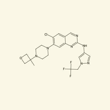 CC1(N2CCN(c3cc4nc(Nc5cnn(CC(F)(F)F)c5)ncc4cc3Cl)CC2)COC1